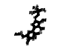 C=P(C)(C)CC[C@H]1OC(n2cc(CNC(C)=O)c(=O)[nH]c2=S)[C@H](O)[C@@H]1O